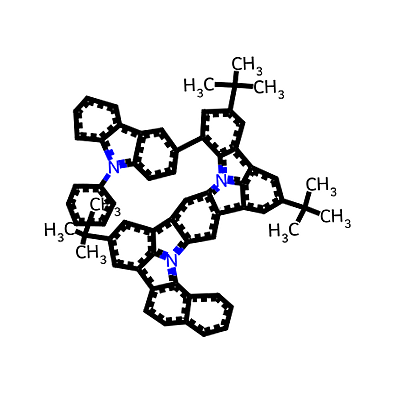 CC(C)(C)c1cc(-c2ccc3c(c2)c2ccccc2n3-c2ccccc2)c2c(c1)c1cc(C(C)(C)C)cc3c4cc5c(cc4n2c31)c1cc(C(C)(C)C)cc2c3ccc4ccccc4c3n5c12